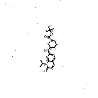 CC(C)n1c(=O)ccc2cnc(NC3CCCN(C(=O)OC(C)(C)C)C3)nc21